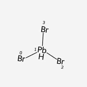 [Br][PbH]([Br])[Br]